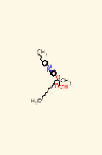 CCCCCCCCCCC/C(Oc1ccc(/N=N/c2ccc(CCCC)cc2)cc1)=C(/C)C(=O)O